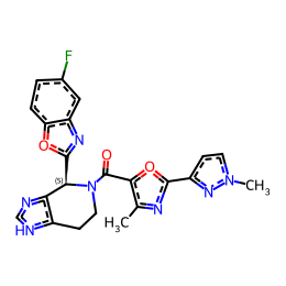 Cc1nc(-c2ccn(C)n2)oc1C(=O)N1CCc2[nH]cnc2[C@H]1c1nc2cc(F)ccc2o1